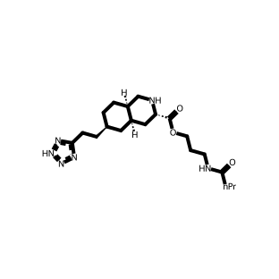 CCCC(=O)NCCCOC(=O)[C@@H]1C[C@H]2C[C@@H](CCc3nn[nH]n3)CC[C@H]2CN1